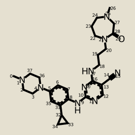 CN1CCN(c2ccc(Nc3ncc(C#N)c(NCCCN4CCCN(C)CC4=O)n3)c(C3CC3)c2)CC1